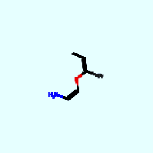 C/C=C(\O/C=C\N)C(C)C